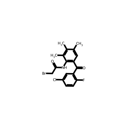 Cc1cc(C(=O)c2cc(Cl)ccc2F)c(NC(=O)CBr)c(C)c1C